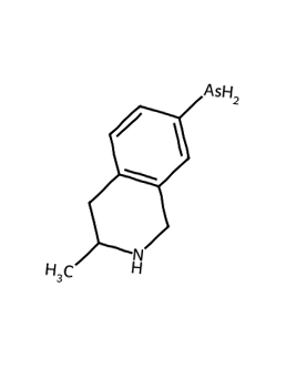 CC1Cc2ccc([AsH2])cc2CN1